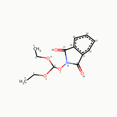 CCOC(OCC)ON1C(=O)c2ccccc2C1=O